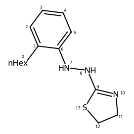 CCCCCCc1ccccc1NNC1=NCCS1